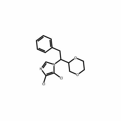 Clc1ncn(C(Cc2ccccc2)C2COCCO2)c1Cl